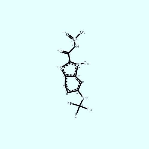 O=C(N[N+](=O)[O-])c1sc2ccc(SC(F)(F)F)cc2[n+]1[O-]